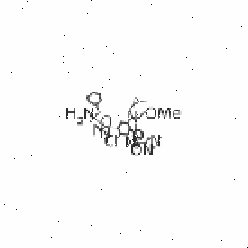 COCCN(CC1CC1C)c1cc(-c2nnc([C@](C)(N)Cc3ccccc3)o2)c(Cl)c(N(C)S(=O)(=O)c2cn(C)cn2)n1